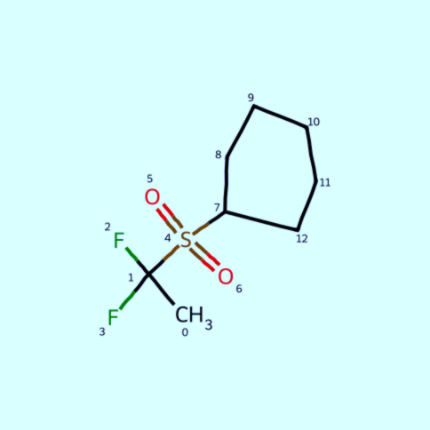 CC(F)(F)S(=O)(=O)C1CCCCC1